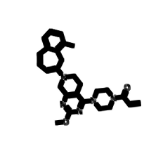 C=CC(=O)N1CCN(c2nc(OC)nc3c2CCN(C2=CC=Cc4cccc(C)c4C2)C3)CC1